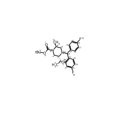 CC(O)[C@@H]1CN(C(=O)OC(C)(C)C)[C@@H](C)CN1C(c1ccc(F)cc1)c1ccc(F)cc1